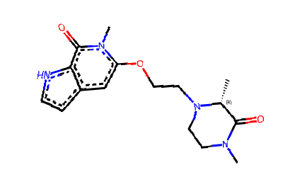 C[C@@H]1C(=O)N(C)CCN1CCOc1cc2cc[nH]c2c(=O)n1C